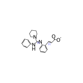 COC(=O)/C=C/c1ccccc1/N=C(\Nc1ccccc1)N1CCCCC1